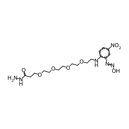 NNC(=O)CCOCCOCCOCCOCCNc1ccc([N+](=O)[O-])cc1/N=N/O